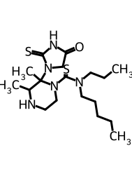 CCCCCN(CCC)C(=S)N1CCNC(C)C1(C)N1CC(=O)NC1=S